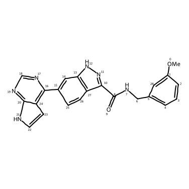 COc1cccc(CNC(=O)c2n[nH]c3cc(-c4ncnc5[nH]ccc45)ccc23)c1